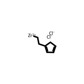 [Cl-].[Cl-].[Zr+2][CH2]CC1=CC=CC1